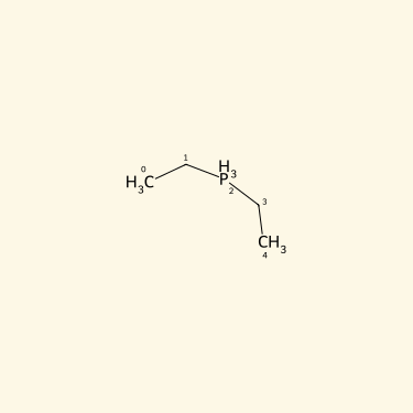 CC[PH3]CC